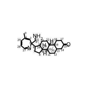 CC1=CC(CN)(C2CC[C@H]3[C@@H]4CCC5CC(=O)CC[C@]5(C)[C@H]4CC[C@]23C)N=CC=C1